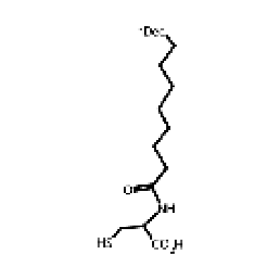 CCCCCCCCCCCCCCCCCC(=O)NC(CS)C(=O)O